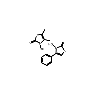 Cc1sc(=S)n(O)c1C.On1c(-c2ccccc2)csc1=S